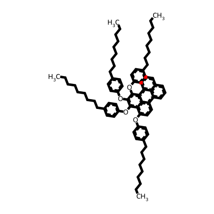 CCCCCCCCCc1ccc(Oc2c(Oc3ccc(CCCCCCCCC)cc3)c3c(Oc4ccc(CCCCCCCCC)cc4)ccc4c5cccc6cccc(c(c2Oc2ccc(CCCCCCCCC)cc2)c34)c65)cc1